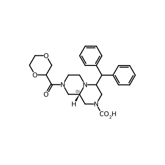 O=C(O)N1CC(C(c2ccccc2)c2ccccc2)N2CCN(C(=O)C3COCCO3)C[C@H]2C1